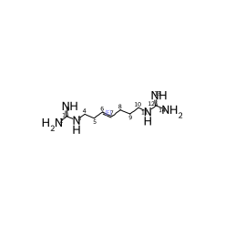 N=C(N)NCC/C=C/CCCNC(=N)N